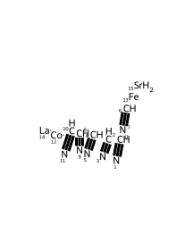 C#N.C#N.C#N.C#N.C#N.C#N.[Co].[Fe].[La].[SrH2]